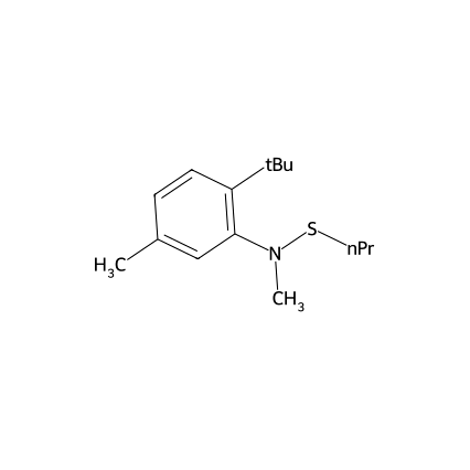 CCCSN(C)c1cc(C)ccc1C(C)(C)C